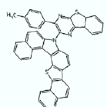 Cc1ccc(-c2nc3c(nc2-n2c4ccc5ccccc5c4c4c5sc6c7ccccc7ccc6c5ccc42)C2C=CC=CC2S3)cc1